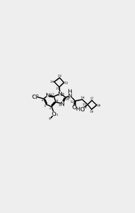 COc1cc(Cl)nc2c1nc(NC(=O)CC1(O)CCC1)n2C1CCC1